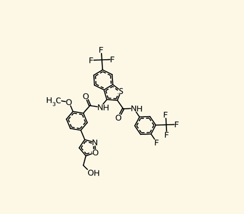 COc1ccc(-c2cc(CO)on2)cc1C(=O)Nc1c(C(=O)Nc2ccc(F)c(C(F)(F)F)c2)sc2cc(C(F)(F)F)ccc12